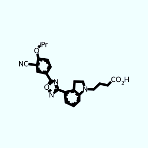 CC(C)Oc1ccc(-c2nc(-c3cccc4c3CCN4CCCC(=O)O)no2)cc1C#N